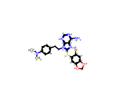 CN(C)c1ccc(CCn2c(Sc3cc4c(cc3Br)OCO4)nc3c(N)ncnc32)cc1